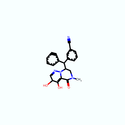 CN1CC(C(c2c#cccc2)c2cccc(C#N)c2)N2N=CC(O)C(O)=C2C1=O